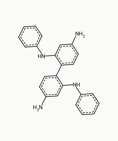 Nc1ccc(-c2ccc(N)cc2Nc2ccccc2)c(Nc2ccccc2)c1